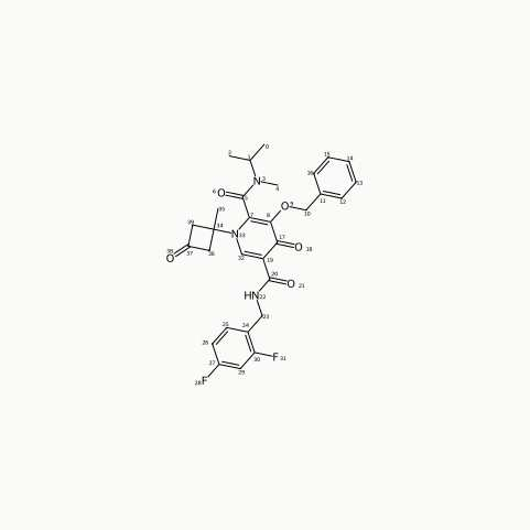 CC(C)N(C)C(=O)c1c(OCc2ccccc2)c(=O)c(C(=O)NCc2ccc(F)cc2F)cn1C1(C)CC(=O)C1